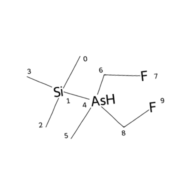 C[Si](C)(C)[AsH](C)(CF)CF